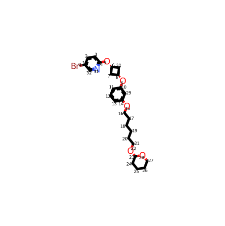 Brc1ccc(O[C@H]2C[C@H](Oc3cccc(OCCCCCCOC4CCCCO4)c3)C2)nc1